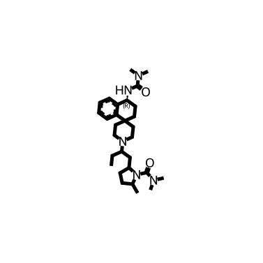 CCC(CC1CCC(C)N1C(=O)N(C)C)N1CCC2(CC[C@@H](NC(=O)N(C)C)c3ccccc32)CC1